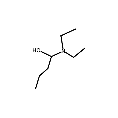 CCCC(O)N(CC)CC